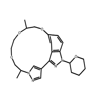 CC1COc2ccc3c(c2)c(nn3C2CCCCO2)-c2cnn(c2)C(C)COCCO1